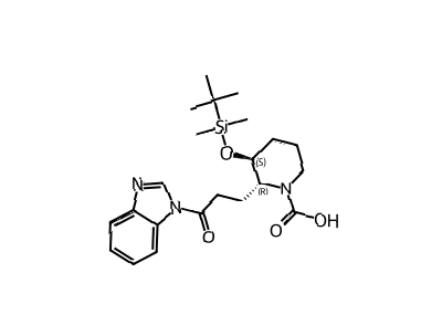 CC(C)(C)[Si](C)(C)O[C@H]1CCCN(C(=O)O)[C@@H]1CCC(=O)n1cnc2ccccc21